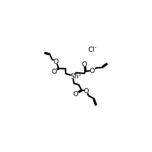 C=CCOC(=O)C[CH2][Sn+]([CH2]CC(=O)OCC=C)[CH2]CC(=O)OCC=C.[Cl-]